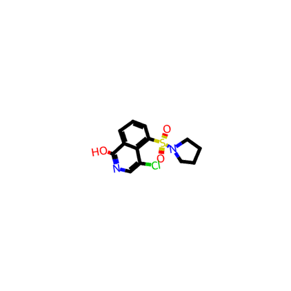 O=S(=O)(c1cccc2c(O)ncc(Cl)c12)N1CCCC1